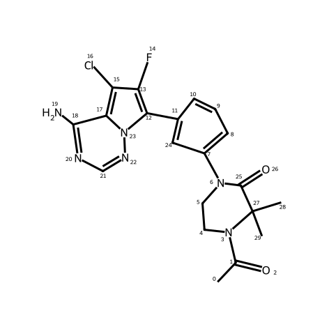 CC(=O)N1CCN(c2cccc(-c3c(F)c(Cl)c4c(N)ncnn34)c2)C(=O)C1(C)C